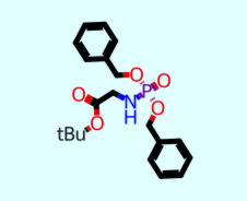 CC(C)(C)OC(=O)CNP(=O)(OCc1ccccc1)OCc1ccccc1